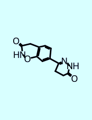 O=C1CCC(c2ccc3c(c2)ONC(=O)C3)=NN1